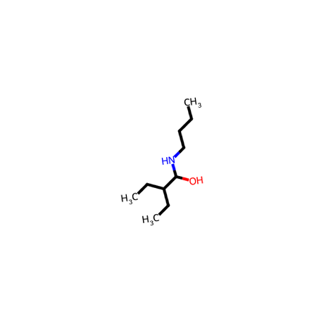 CCCCNC(O)C(CC)CC